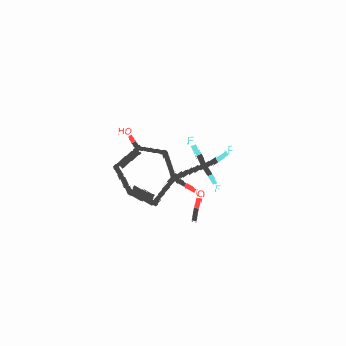 COC1(C(F)(F)F)C=CC=C(O)C1